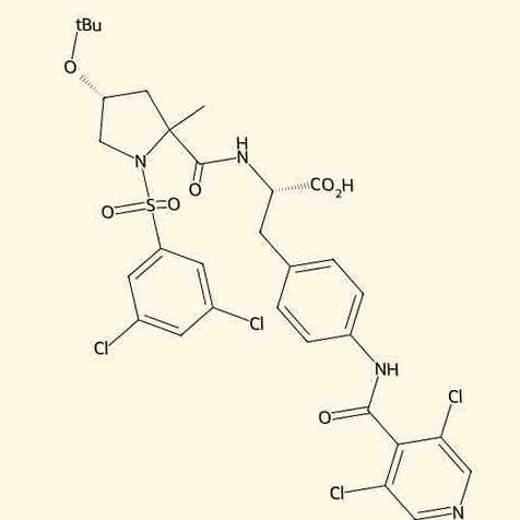 CC(C)(C)O[C@H]1CN(S(=O)(=O)c2cc(Cl)cc(Cl)c2)C(C)(C(=O)N[C@@H](Cc2ccc(NC(=O)c3c(Cl)cncc3Cl)cc2)C(=O)O)C1